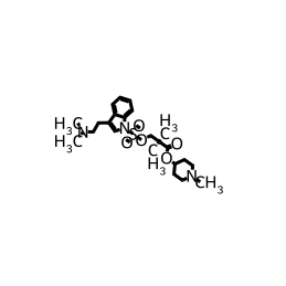 CN(C)CCc1cn(S(=O)(=O)OCC(C)(C)C(=O)OC2CCN(C)CC2)c2ccccc12